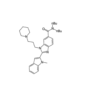 CCCCN(CCCC)C(=O)c1ccc2nc(-c3cc4ccccc4n3C)n(CCCN3CCCCC3)c2c1